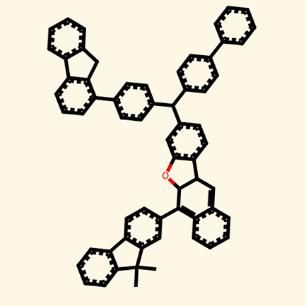 CC1(C)c2ccccc2-c2ccc(C3=c4ccccc4=CC4c5ccc(C(c6ccc(-c7ccccc7)cc6)c6ccc(-c7cccc8c7Cc7ccccc7-8)cc6)cc5OC34)cc21